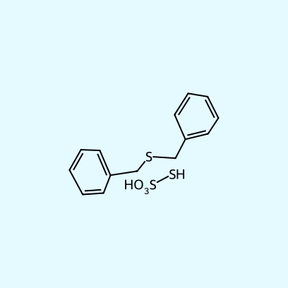 O=S(=O)(O)S.c1ccc(CSCc2ccccc2)cc1